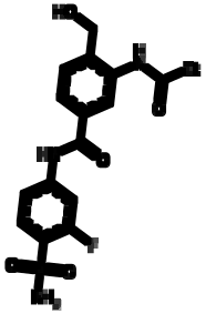 CCC(=O)Nc1cc(C(=O)Nc2ccc(S(N)(=O)=O)c(F)c2)ccc1CO